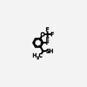 CC(S)c1cccc(OC(F)(F)F)c1F